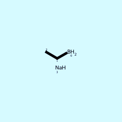 BCC.[NaH]